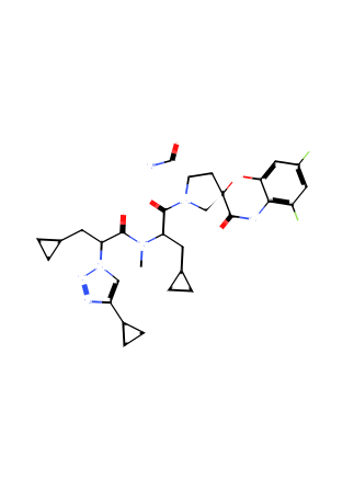 CN(C(=O)C(CC1CC1)n1cc(C2CC2)nn1)C(CC1CC1)C(=O)N1C[C@@]2(C[C@H]1C(N)=O)Oc1cc(F)cc(F)c1NC2=O